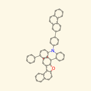 c1ccc(-c2ccc(N(c3ccc(-c4ccc5c(ccc6ccccc65)c4)cc3)c3ccccc3-c3cccc4c3oc3ccc5ccccc5c34)cc2)cc1